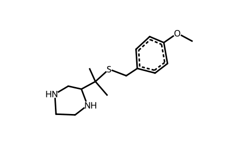 COc1ccc(CSC(C)(C)C2CNCCN2)cc1